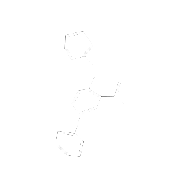 O=[N+]([O-])c1cc(-c2ccccc2)ccc1Oc1ccccc1